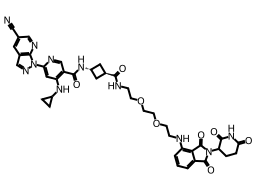 N#Cc1cnc2c(cnn2-c2cc(NC3CC3)c(C(=O)N[C@H]3C[C@H](C(=O)NCCOCCOCCNc4cccc5c4C(=O)N(C4CCC(=O)NC4=O)C5=O)C3)cn2)c1